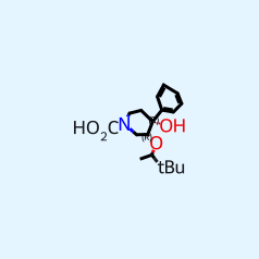 CC(O[C@@H]1CN(C(=O)O)CC[C@@]1(O)c1ccccc1)C(C)(C)C